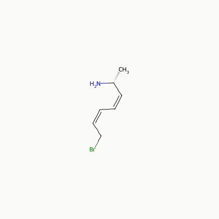 C[C@@H](N)/C=C\C=C/CBr